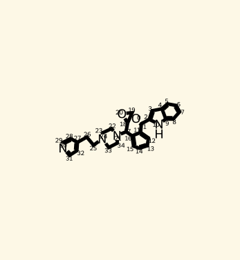 O=C(c1cc2ccccc2[nH]1)c1ccccc1C(C1CO1)N1CCN(CCc2ccncc2)CC1